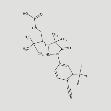 CC(C)(C)C(CNC(=O)O)[SH]1NN(c2ccc(C#N)c(C(F)(F)F)c2)C(=O)C1(C)C